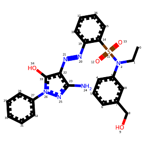 CCN(c1cccc(CO)c1)S(=O)(=O)c1ccccc1/N=N/c1c(N)nn(-c2ccccc2)c1O